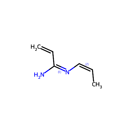 C=C/C(N)=N\C=C/C